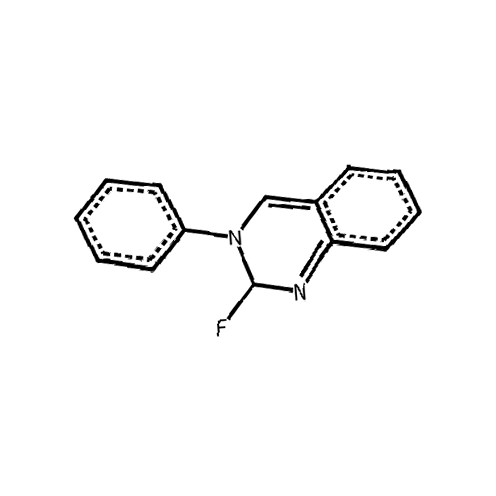 FC1N=c2ccccc2=CN1c1ccccc1